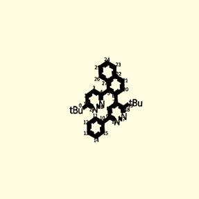 CC(C)(C)c1ccc(-c2c(-c3cc(-c4ccccc4)nnc3C(C)(C)C)ccc3ccccc23)nn1